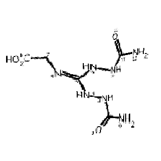 NC(=O)NNC(=NCC(=O)O)NNC(N)=O